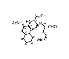 CSCC[C@@H](C=O)NC(=O)[C@H](CC(C)C)NC(=O)C(CC1CCCCC1)NC(C)=O